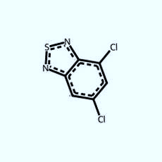 Clc1[c]c2nsnc2c(Cl)c1